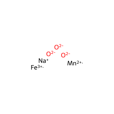 [Fe+3].[Mn+2].[Na+].[O-2].[O-2].[O-2]